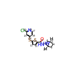 O=C(N[C@@H]1C[C@H]2CC[C@@H]1N2)c1ccc(Sc2ccnc(Cl)c2)s1